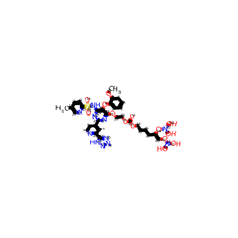 COc1ccccc1Oc1c(NS(=O)(=O)c2ccc(C)cn2)nc(-c2ccnc(-c3nnn[nH]3)c2)nc1OCCOC(=O)OCCCCC(CON(O)O)ON(O)O